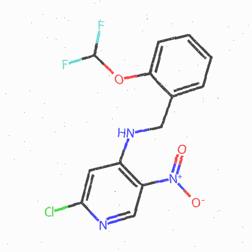 O=[N+]([O-])c1cnc(Cl)cc1NCc1ccccc1OC(F)F